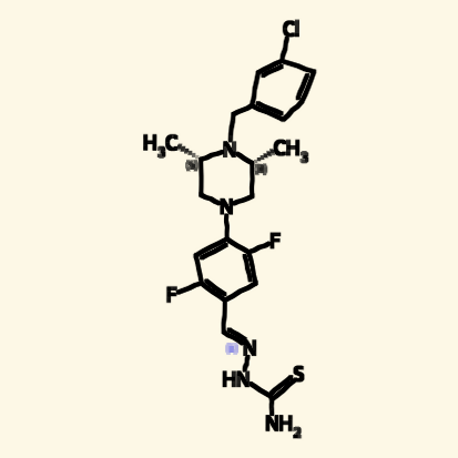 C[C@@H]1CN(c2cc(F)c(/C=N/NC(N)=S)cc2F)C[C@H](C)N1Cc1cccc(Cl)c1